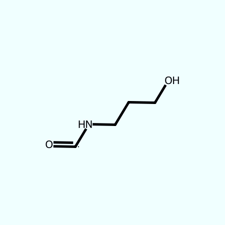 O=[C]NCCCO